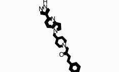 O=C(CCc1ccccc1)CN1CCC(Cn2ccc3nc(-c4cn[nH]c4)ccc32)CC1